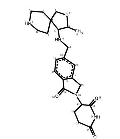 CC1OCC2(CCNCC2)C1NCc1ccc2c(c1)CN(C1CCC(=O)NC1=O)C2=O